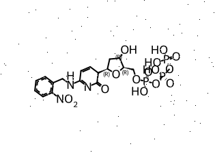 O=C1N=C(NCc2ccccc2[N+](=O)[O-])C=CC1[C@H]1C[C@@H](O)[C@@H](COP(=O)(O)OP(=O)(O)OP(=O)(O)O)O1